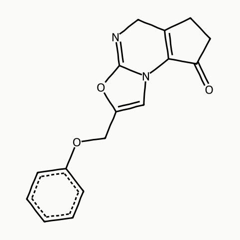 O=C1CCC2=C1N1C=C(COc3ccccc3)OC1=NC2